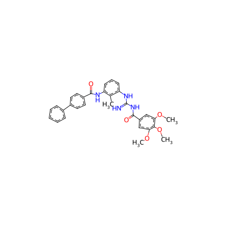 COc1cc(C(=O)NC(=N)Nc2cccc(NC(=O)c3ccc(-c4ccccc4)cc3)c2C)cc(OC)c1OC